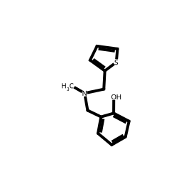 CN(Cc1cccs1)Cc1ccccc1O